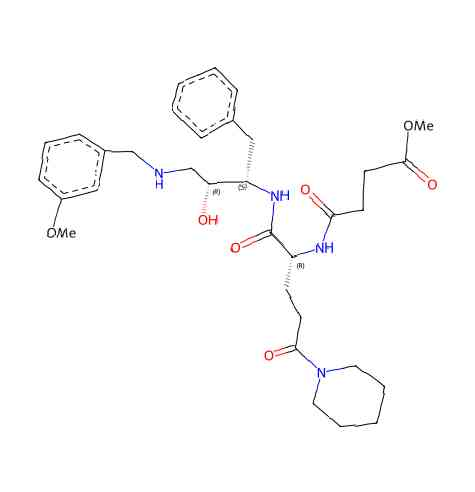 COC(=O)CCC(=O)N[C@H](CCC(=O)N1CCCCC1)C(=O)N[C@@H](Cc1ccccc1)[C@H](O)CNCc1cccc(OC)c1